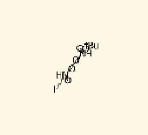 CC(C)(C)OC(=O)NCCOCCOCCNC(=O)CCCCI